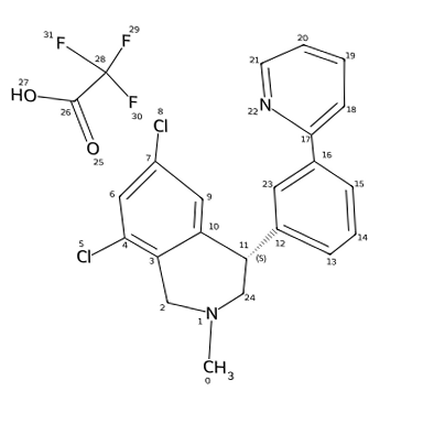 CN1Cc2c(Cl)cc(Cl)cc2[C@H](c2cccc(-c3ccccn3)c2)C1.O=C(O)C(F)(F)F